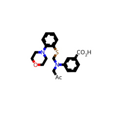 CC(=O)CN(CSc1ccccc1N1CCOCC1)c1cccc(C(=O)O)c1